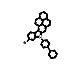 Brc1ccc2c3c4ccc5cccc6ccc(cc3n(-c3ccc(-c7ccccc7)cc3)c2c1)c4c65